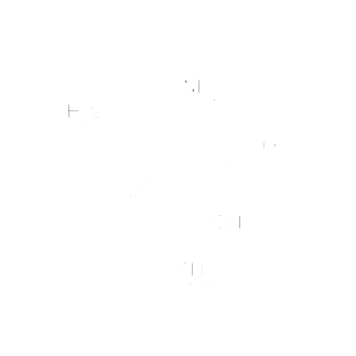 C=COC=C.NCC(=O)O